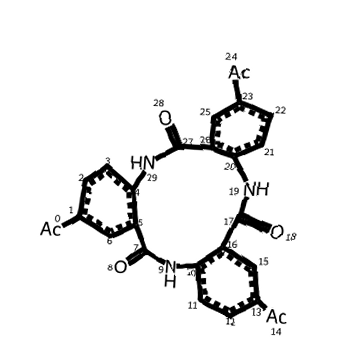 CC(=O)c1ccc2c(c1)C(=O)Nc1ccc(C(C)=O)cc1C(=O)Nc1ccc(C(C)=O)cc1C(=O)N2